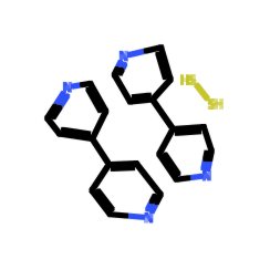 SS.c1cc(-c2ccncc2)ccn1.c1cc(-c2ccncc2)ccn1